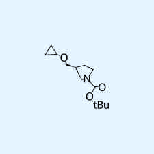 CC(C)(C)OC(=O)N1CC[C@H](COC2CC2)C1